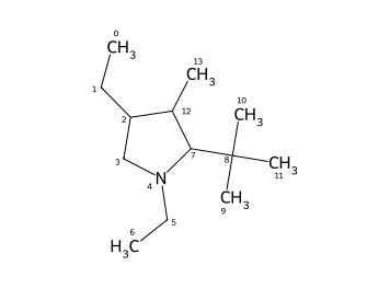 CCC1CN(CC)C(C(C)(C)C)C1C